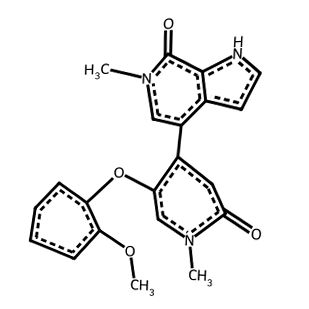 COc1ccccc1Oc1cn(C)c(=O)cc1-c1cn(C)c(=O)c2[nH]ccc12